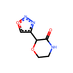 O=C1NCCOC1c1conn1